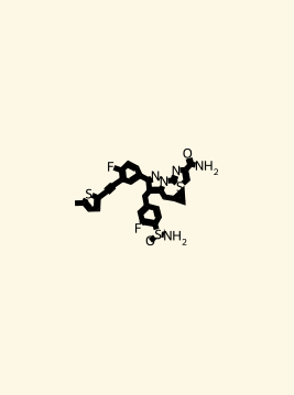 Cc1ccc(C#Cc2cc(-c3nn(-c4nc(C(N)=O)cs4)c(CC4CC4)c3Cc3ccc([S+](N)[O-])c(F)c3)ccc2F)s1